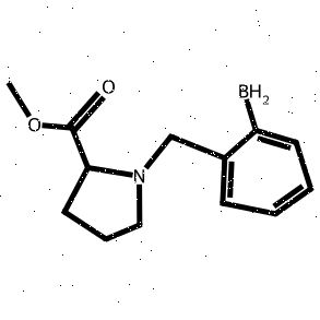 Bc1ccccc1CN1CCCC1C(=O)OC